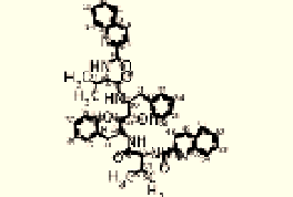 CC(C)[C@H](NC(=O)c1ccc2ccccc2n1)C(=O)N[C@@H](Cc1ccccc1)[C@H](O)[C@@H](O)[C@H](Cc1ccccc1)NC(=O)[C@@H](NC(=O)c1ccc2ccccc2n1)C(C)C